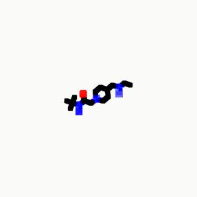 CCNCC1CCN(CC(=O)NC(C)(C)C)CC1